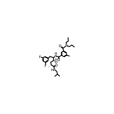 CCCN(CCC)C(=O)c1cc(C)cc(C(=O)NC(Cc2cc(F)cc(F)c2)[C@@H](O)C[C@@H](C)C(=O)NCC(C)C)c1